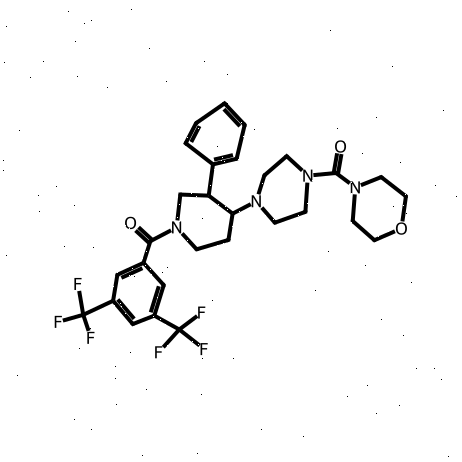 O=C(c1cc(C(F)(F)F)cc(C(F)(F)F)c1)N1CCC(N2CCN(C(=O)N3CCOCC3)CC2)C(c2ccccc2)C1